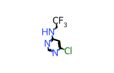 FC(F)(F)CNc1cc(Cl)ncn1